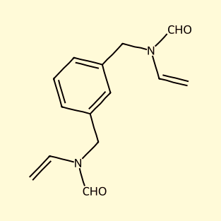 C=CN(C=O)Cc1cccc(CN(C=C)C=O)c1